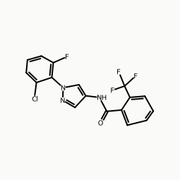 O=C(Nc1cnn(-c2c(F)cccc2Cl)c1)c1ccccc1C(F)(F)F